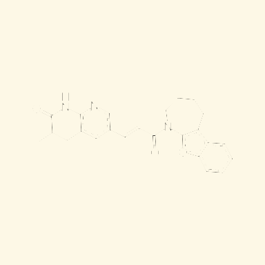 CC1Cc2cc(/C=C/C(=O)N3CCCCc4c3oc3ccccc43)cnc2NC1=O